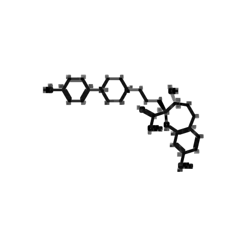 COC(=O)[C@@]1(CCCN2CCN(c3ccc(O)cc3)CC2)Oc2cc(OC)ccc2CC[C@H]1O